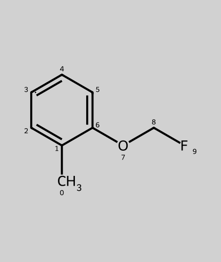 Cc1c[c]ccc1OCF